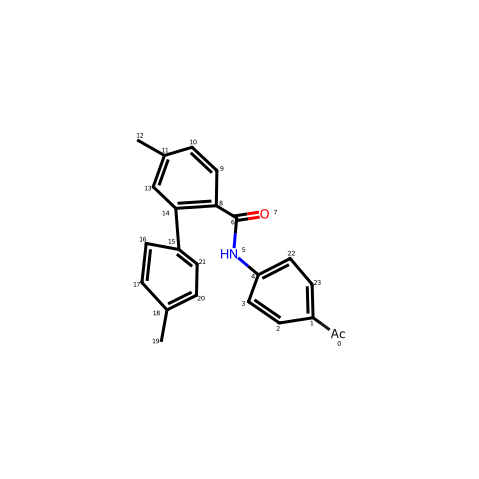 CC(=O)c1ccc(NC(=O)c2ccc(C)cc2-c2ccc(C)cc2)cc1